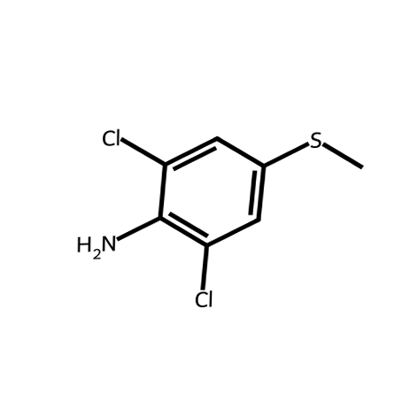 CSc1cc(Cl)c(N)c(Cl)c1